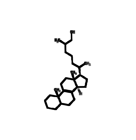 CC(CO)CCCC(C)[C@H]1CC[C@H]2C3=C(CC[C@]12C)[C@@]1(C)CCCCC1CC3